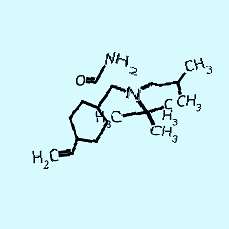 C=CC1CCC(CN(CC(C)C)C(C)(C)C)CC1.NC=O